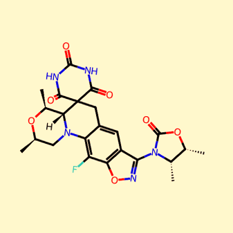 C[C@@H]1CN2c3c(cc4c(N5C(=O)O[C@H](C)[C@@H]5C)noc4c3F)CC3(C(=O)NC(=O)NC3=O)[C@H]2[C@H](C)O1